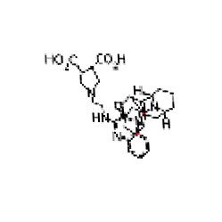 O=C(O)[C@@H]1CN(CCNc2nc3ccccc3n([C@H]3C[C@H]4CCC[C@@H](C3)N4C34CC5CC(CC(C5)C3)C4)c2=O)C[C@H]1C(=O)O